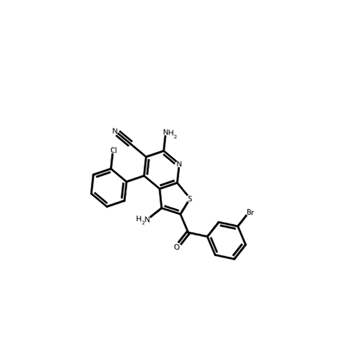 N#Cc1c(N)nc2sc(C(=O)c3cccc(Br)c3)c(N)c2c1-c1ccccc1Cl